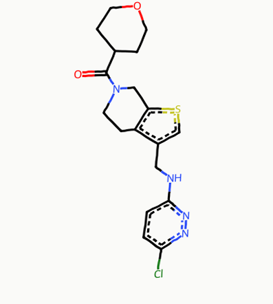 O=C(C1CCOCC1)N1CCc2c(CNc3ccc(Cl)nn3)csc2C1